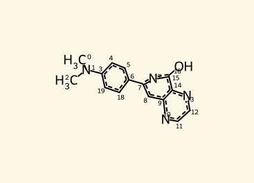 CN(C)c1ccc(-c2cc3nccnc3c(O)n2)cc1